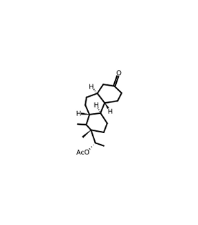 CC(=O)O[C@@H](C)[C@@]1(C)CC[C@@H]2[C@H]3CCC(=O)C[C@@H]3CC[C@H]2C1C